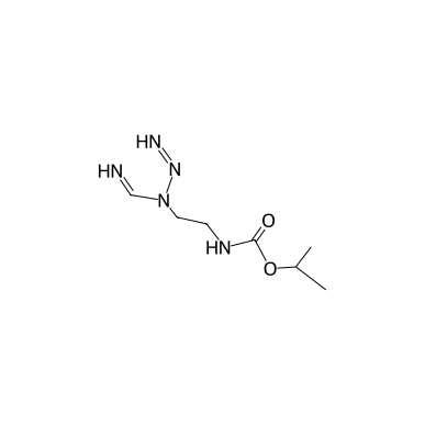 CC(C)OC(=O)NCCN(C=N)N=N